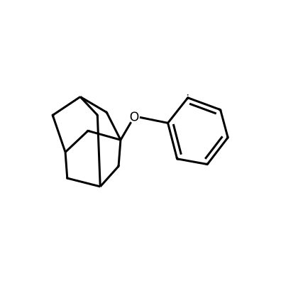 [c]1ccccc1OC12CC3CC(CC(C3)C1)C2